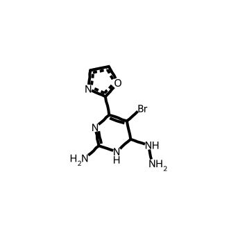 NNC1NC(N)=NC(c2ncco2)=C1Br